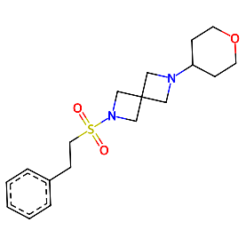 O=S(=O)(CCc1ccccc1)N1CC2(CN(C3CCOCC3)C2)C1